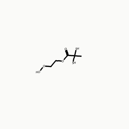 CC(S)(S)C(=O)OCCOO